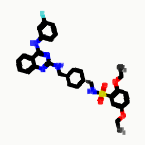 O=S(=O)(NC[C@H]1CC[C@H](CNc2nc(Nc3cccc(F)c3)c3ccccc3n2)CC1)c1cc(OCC(F)(F)F)ccc1OCC(F)(F)F